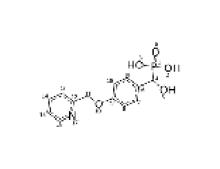 O=P(O)(O)C(O)c1ccc(OCc2ccccn2)cc1